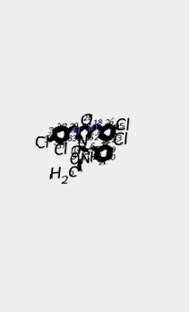 C=CC(=O)N[C@@H](Cc1ccccc1)C(=O)N1C/C(=C\c2ccc(Cl)c(Cl)c2)C(=O)/C(=C/c2ccc(Cl)c(Cl)c2)C1